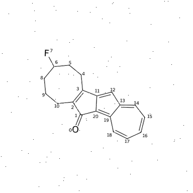 O=C1C2=C(CCC(F)CCC2)c2cc3cccccc-3c21